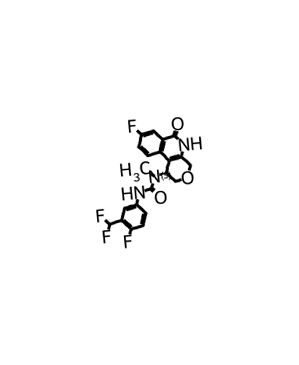 CN(C(=O)Nc1ccc(F)c(C(F)F)c1)[C@@H]1COCc2[nH]c(=O)c3cc(F)ccc3c21